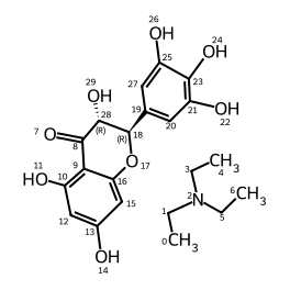 CCN(CC)CC.O=C1c2c(O)cc(O)cc2O[C@H](c2cc(O)c(O)c(O)c2)[C@H]1O